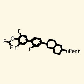 CCCCCC1CCC2CC(c3ccc(-c4cc(F)c(OC(F)F)c(F)c4)c(F)c3)CCC2C1